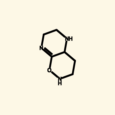 C1CNC2CCNOC2=N1